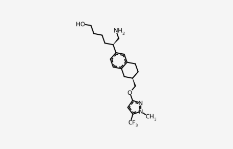 Cn1nc(OC[C@@H]2CCc3cc([C@H](CN)CCCCO)ccc3C2)cc1C(F)(F)F